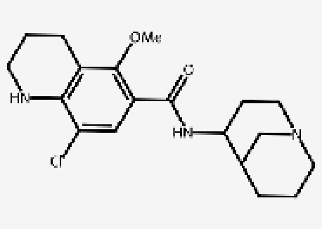 COc1c(C(=O)NC2CCN3CCCC2C3)cc(Cl)c2c1CCCN2